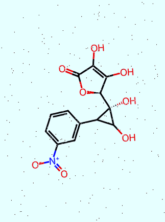 O=C1O[C@H]([C@@]2(O)C(O)C2c2cccc([N+](=O)[O-])c2)C(O)=C1O